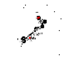 CC(C)(C)OC(=O)N(CCCCOC(=O)c1ccc(COc2cccc([C@@H](NC(=O)O[C@H]3CN4CCC3CC4)c3ccccc3)c2)o1)C[C@H](O[Si](C)(C)C(C)(C)C)c1ccc(O)c2[nH]c(=O)ccc12.O=CO